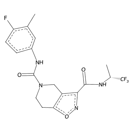 Cc1cc(NC(=O)N2CCc3onc(C(=O)N[C@H](C)C(F)(F)F)c3C2)ccc1F